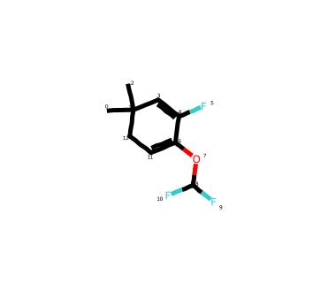 CC1(C)C=C(F)C(OC(F)F)=CC1